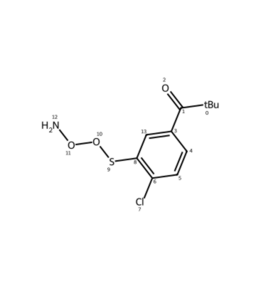 CC(C)(C)C(=O)c1ccc(Cl)c(SOON)c1